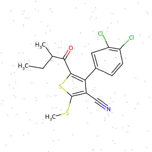 CCC(C)C(=O)c1sc(SC)c(C#N)c1-c1ccc(Cl)c(Cl)c1